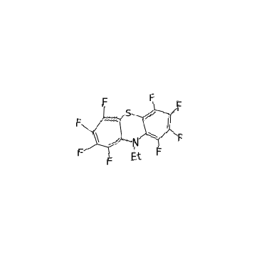 CCN1c2c(F)c(F)c(F)c(F)c2Sc2c(F)c(F)c(F)c(F)c21